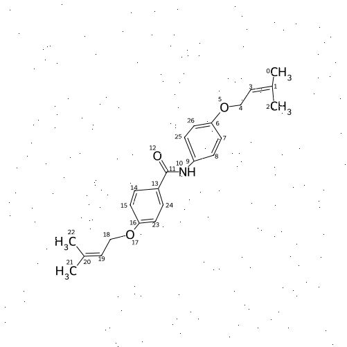 CC(C)=CCOc1ccc(NC(=O)c2ccc(OCC=C(C)C)cc2)cc1